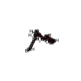 CC(C)[C@H](NC(=O)CCOCCOCCOCCOCCOCCOCCNC(=O)CBr)C(=O)N[C@@H](CCCNC(N)=O)C(=O)Nc1ccc(COC(=O)N(C)CCN(C)C(=O)Oc2cc3c(c4ccccc24)[C@H](CCl)CN3C(=O)c2ccc(C(=O)N3C[C@@H](CCl)c4c3cc(OP(=O)(O)O)c3ccccc43)s2)cc1